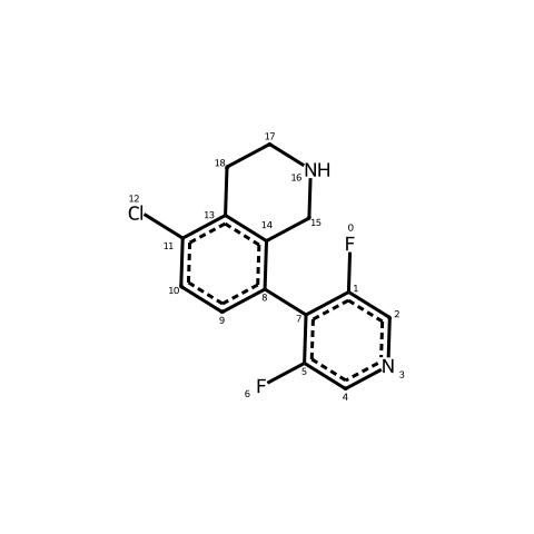 Fc1cncc(F)c1-c1ccc(Cl)c2c1CNCC2